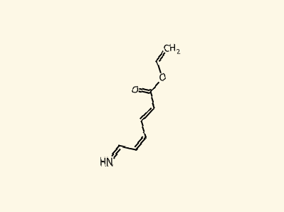 C=COC(=O)/C=C/C=C\C=N